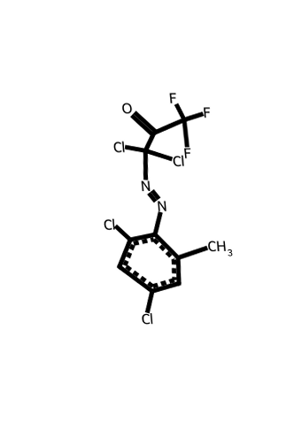 Cc1cc(Cl)cc(Cl)c1/N=N/C(Cl)(Cl)C(=O)C(F)(F)F